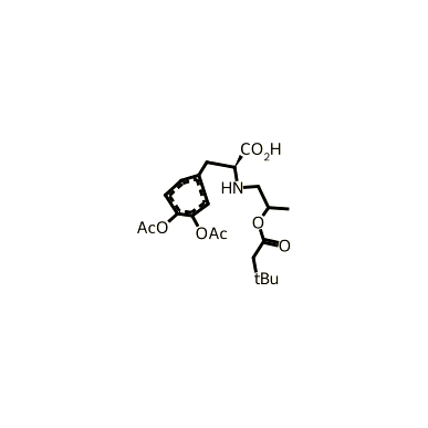 CC(=O)Oc1ccc(C[C@H](NCC(C)OC(=O)CC(C)(C)C)C(=O)O)cc1OC(C)=O